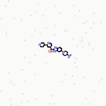 CN(C)C1CCN(c2ccc3nc(C(=O)c4ccnc(-c5ccncc5)c4)[nH]c3c2)CC1